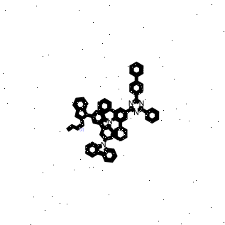 C=C/C=C\C1=Cc2ccccc2C1c1ccc2c(c1)c1c(n2-c2c(C3=CCCC#C3)cc(-c3nc(-c4ccccc4)nc(-c4ccc(-c5ccccc5)cc4)n3)cc2-c2ccccc2)CCC(n2c3ccccc3c3ccccc32)=C1